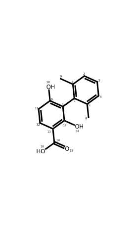 Cc1cccc(C)c1-c1c(O)ccc(C(=O)O)c1O